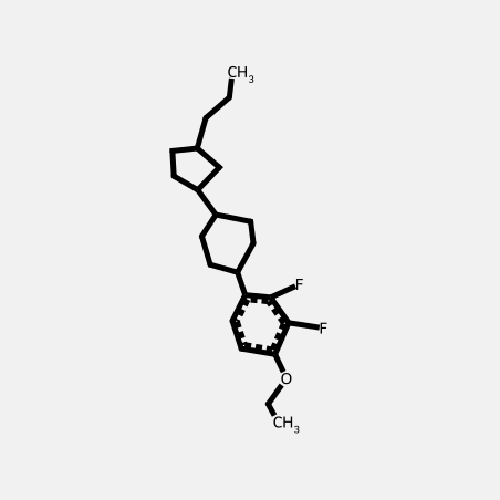 CCCC1CCC(C2CCC(c3ccc(OCC)c(F)c3F)CC2)C1